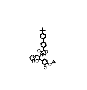 CC(C)(C)c1ccc(-c2ccc(C(=O)C(=O)NC(CN3CCCC3)C(O)c3ccc(OC4CC4)c(Cl)c3)cc2)cc1